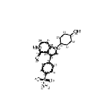 NS(=O)(=O)c1ccc(-c2cn(C3CCC(O)CC3)c3cc[nH]c(=O)c23)cc1